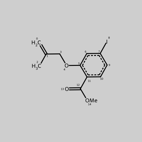 C=C(C)COc1cc(I)ccc1C(=O)OC